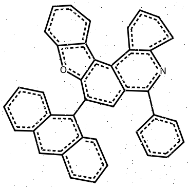 c1ccc(-c2nc3ccccc3c3c2cc(-c2c4ccccc4cc4ccccc24)c2oc4ccccc4c23)cc1